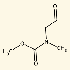 COC(=O)N(C)CC=O